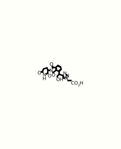 O=C(O)CCn1cc(C(CO)c2cccc3c2C(=O)N(C2CCC(=O)NC2=O)C3=O)nn1